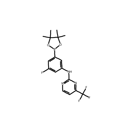 CC1(C)OB(c2cc(F)cc(Nc3nccc(C(F)(F)F)n3)c2)OC1(C)C